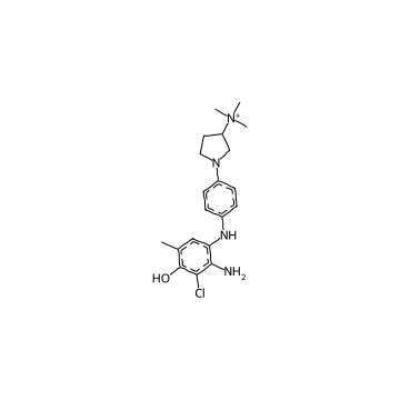 Cc1cc(Nc2ccc(N3CCC([N+](C)(C)C)C3)cc2)c(N)c(Cl)c1O